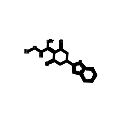 CCCC(NOCC)=C1C(=O)CC(c2cc3ccccc3s2)CC1=O